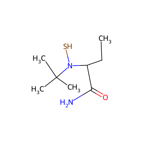 CCC(C(N)=O)N(S)C(C)(C)C